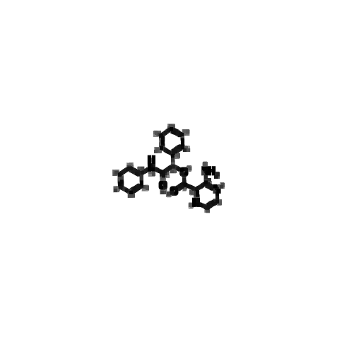 Nc1nccnc1C(=O)OC(C(=O)Nc1ccccc1)c1ccccc1